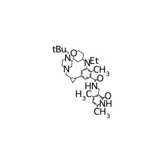 CCN(c1cc(C2CC2CN2CCN(CC(C)(C)C)CC2)cc(C(=O)NCc2c(C)cc(C)[nH]c2=O)c1C)C1CCOCC1